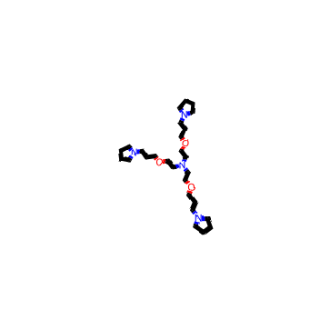 C1CCN(CCCOCCN(CCOCCCN2CCCC2)CCOCCCN2CCCC2)C1